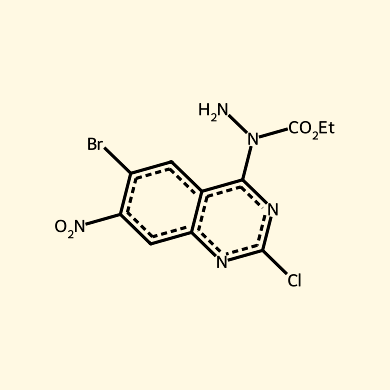 CCOC(=O)N(N)c1nc(Cl)nc2cc([N+](=O)[O-])c(Br)cc12